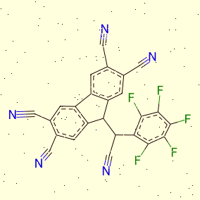 N#Cc1cc2c(cc1C#N)C(C(C#N)c1c(F)c(F)c(F)c(F)c1F)c1cc(C#N)c(C#N)cc1-2